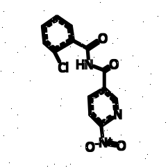 O=C(NC(=O)c1ccccc1Cl)c1ccc([N+](=O)[O-])nc1